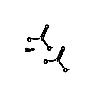 [O]=[Ti]([O-])[O-].[O]=[Ti]([O-])[O-].[Sn+4]